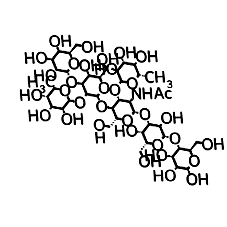 CC(=O)N[C@H]1[C@H](O[C@H]2[C@@H](O)[C@@H](CO)O[C@@H](O[C@H]3[C@H](O)[C@@H](O)[C@H](O)O[C@@H]3CO)[C@@H]2O)O[C@H](CO)[C@@H](O[C@@H]2O[C@H](CO)[C@H](O)[C@H](O[C@H]3O[C@H](CO)[C@H](O)[C@H](O)[C@H]3O)[C@H]2O[C@@H]2O[C@@H](C)[C@@H](O)[C@@H](O)[C@@H]2O)[C@@H]1O[C@@H]1O[C@@H](C)[C@@H](O)[C@@H](O)[C@@H]1O